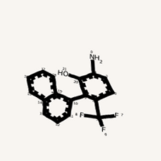 Nc1ccc(C(F)(F)F)c(-c2cccc3ccccc23)c1O